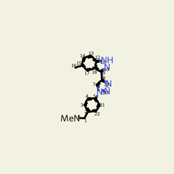 CNCc1ccc(-n2cc(-c3n[nH]c4ccc(C)cc34)nn2)cc1